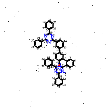 CN1C(c2ccccc2-c2cc(-c3cccc(-c4nc(-c5ccccc5)nc(-c5ccccc5)n4)c3)ccc2C#N)=NC(c2ccccc2)=NC1c1ccccc1